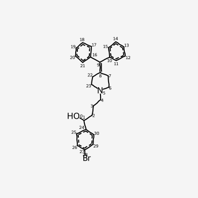 OC(CCCN1CCC(=C(c2ccccc2)c2ccccc2)CC1)c1ccc(Br)cc1